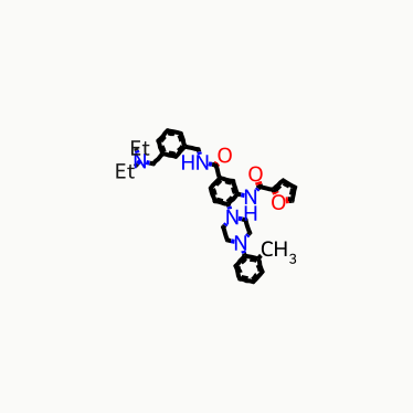 CCN(CC)Cc1cccc(CNC(=O)c2ccc(N3CCN(c4ccccc4C)CC3)c(NC(=O)c3ccco3)c2)c1